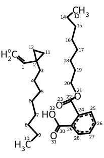 C=CC1(CCCCCCCC)CC1.CCCCCCCCOC(=O)c1ccccc1C(=O)O